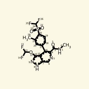 CNC(=O)c1ncc2[nH]nc(OC(F)F)c2c1-c1ccc(S(=O)(=O)C(F)F)c(C)c1